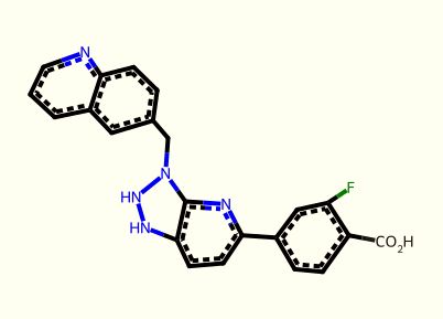 O=C(O)c1ccc(-c2ccc3c(n2)N(Cc2ccc4ncccc4c2)NN3)cc1F